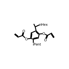 C=CC(=O)Oc1cc(C(C)CCCCCC)c(OC(=O)C=C)cc1C(C)CCC